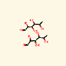 CC(O)C(O)C(O)C(O)C=O.CC(O)C(O)C(O)C(O)C=O